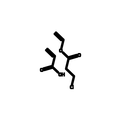 C=CC(=O)O.C=COC(=O)CCCl